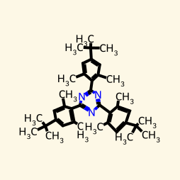 Cc1cc(C(C)(C)C)cc(C)c1-c1nc(-c2c(C)cc(C(C)(C)C)cc2C)nc(-c2c(C)cc(C(C)(C)C)cc2C)n1